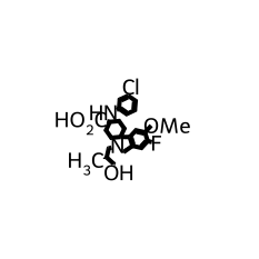 COc1cc2c(cc1F)CN(C[C@@H](C)CO)C21CCC(Nc2cccc(Cl)c2)(C(=O)O)CC1